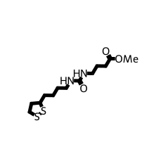 COC(=O)CCCNC(=O)NCCCCC1CCSS1